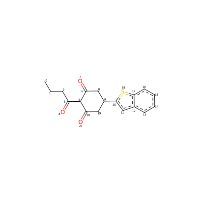 CCCC(=O)C1C(=O)CC(c2cc3ccccc3s2)CC1=O